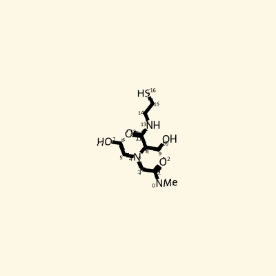 CNC(=O)CN(CCO)C(CO)C(=O)NCCS